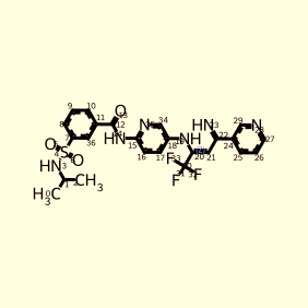 CC(C)NS(=O)(=O)c1cccc(C(=O)Nc2ccc(N/C(=C\C(=N)c3cccnc3)C(F)(F)F)cn2)c1